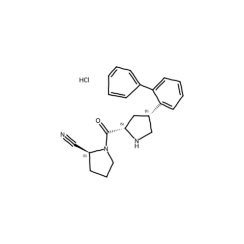 Cl.N#C[C@@H]1CCCN1C(=O)[C@@H]1C[C@H](c2ccccc2-c2ccccc2)CN1